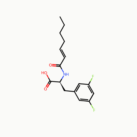 CCCCC=CC(=O)N[C@@H](Cc1cc(F)cc(F)c1)C(=O)O